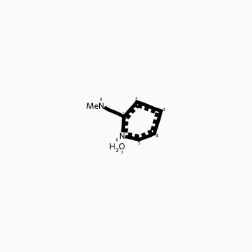 CNc1ccccn1.O